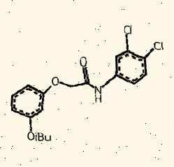 CC(C)COc1cccc(OCC(=O)Nc2ccc(Cl)c(Cl)c2)c1